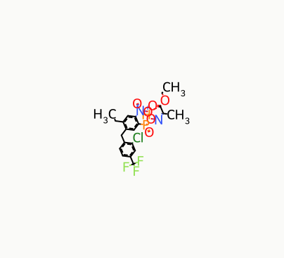 CCOC(=O)C(C)=NO[PH](=O)c1cc(Cc2ccc(C(F)(F)F)cc2Cl)c(CC)cc1[N+](=O)[O-]